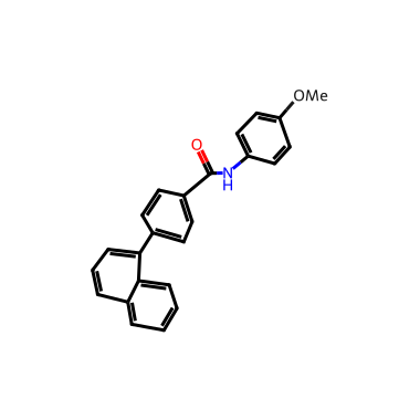 COc1ccc(NC(=O)c2ccc(-c3cccc4ccccc34)cc2)cc1